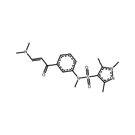 Cc1nn(C)c(C)c1S(=O)(=O)N(C)c1cccc(C(=O)/C=C/N(C)C)c1